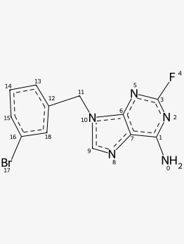 Nc1nc(F)nc2c1ncn2Cc1cccc(Br)c1